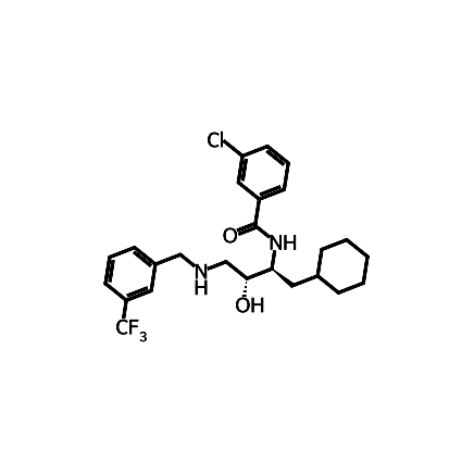 O=C(N[C@@H](CC1CCCCC1)[C@H](O)CNCc1cccc(C(F)(F)F)c1)c1cccc(Cl)c1